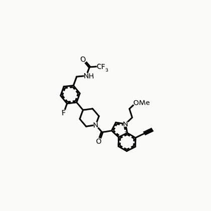 C#Cc1cccc2c(C(=O)N3CCC(c4cc(CNC(=O)C(F)(F)F)ccc4F)CC3)cn(CCOC)c12